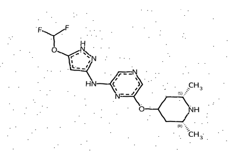 C[C@@H]1CC(Oc2cncc(Nc3cc(OC(F)F)[nH]n3)n2)C[C@H](C)N1